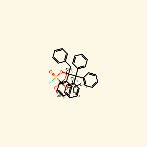 C[Si](C)(C)OC(O[SiH3])(O[SiH3])P(=O)(F)OC(Cc1ccccc1)(c1ccccc1)C(c1ccccc1)(c1ccccc1)c1ccccc1